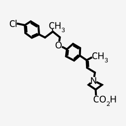 C/C(=C\CN1CC(C(=O)O)C1)c1ccc(OC[C@@H](C)Cc2ccc(Cl)cc2)cc1